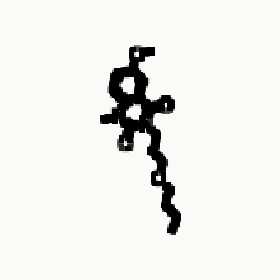 CCCCOCCCn1c(=O)c2cc(OC)ccc2n(C)c1=O